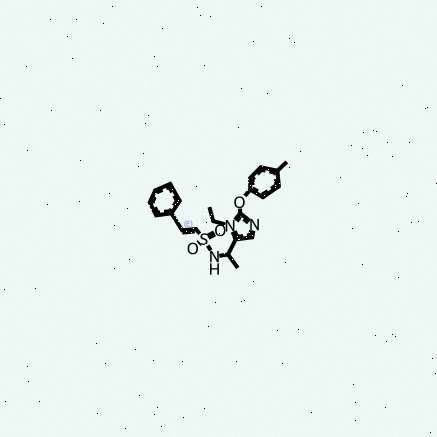 CCn1c(C(C)NS(=O)(=O)/C=C/c2ccccc2)cnc1Oc1ccc(C)cc1